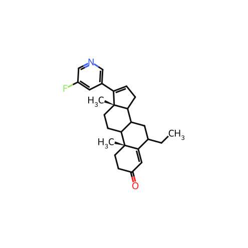 CCC1CC2C(CC[C@]3(C)C(c4cncc(F)c4)=CCC23)[C@@]2(C)CCC(=O)C=C12